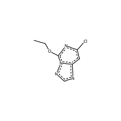 CCOc1nc(Cl)cc2ncnn12